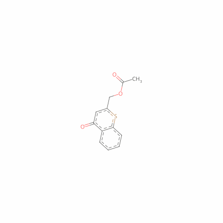 CC(=O)OCc1cc(=O)c2ccccc2s1